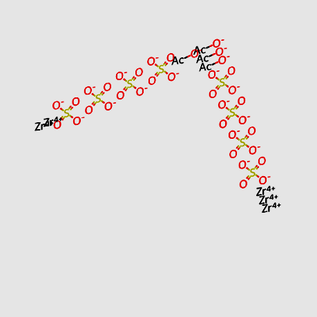 CC(=O)[O-].CC(=O)[O-].CC(=O)[O-].CC(=O)[O-].O=S(=O)([O-])[O-].O=S(=O)([O-])[O-].O=S(=O)([O-])[O-].O=S(=O)([O-])[O-].O=S(=O)([O-])[O-].O=S(=O)([O-])[O-].O=S(=O)([O-])[O-].O=S(=O)([O-])[O-].[Zr+4].[Zr+4].[Zr+4].[Zr+4].[Zr+4]